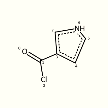 O=C(Cl)c1cc[nH]c1